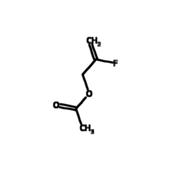 C=C(F)COC(C)=O